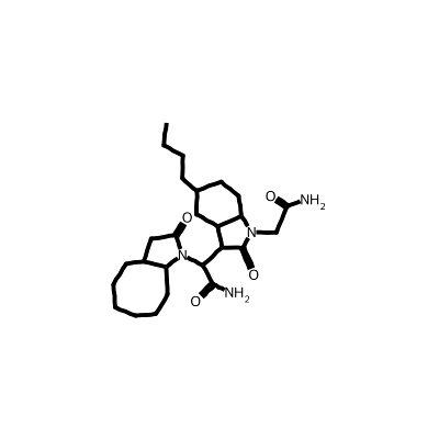 CCCCC1CCC2C(C1)C(C(C(N)=O)N1C(=O)CC3CCCCCCC31)C(=O)N2CC(N)=O